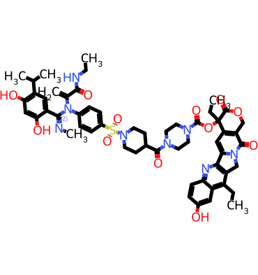 C=C(C(=O)NCC)N(/C(=N\C)c1cc(C(C)C)c(O)cc1O)c1ccc(S(=O)(=O)N2CCC(C(=O)N3CCN(C(=O)OC4(CC)C(=O)OCc5c4cc4n(c5=O)Cc5c-4nc4ccc(O)cc4c5CC)CC3)CC2)cc1